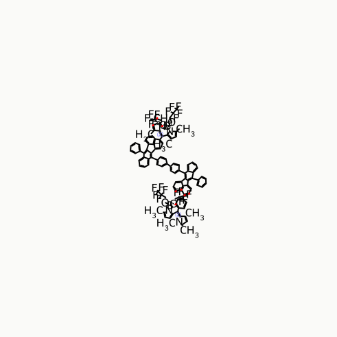 CC1=CC(C)=N/C1=C(/c1ccc(-c2ccc3c4c(cccc24)-c2c-3c(-c3ccccc3)c3ccccc3c2-c2ccc(-c3ccc(-c4c5c(c(-c6ccccc6)c6ccccc46)-c4cccc6c(/C(=C7/N=C(C)C=C7C)c7c(C)cc(C)n7B(OCC(F)(F)C(F)(F)F)OCC(F)(F)C(F)(F)F)ccc-5c46)cc3)cc2)cc1)c1c(C)cc(C)n1B(OCC(F)(F)C(F)(F)F)OCC(F)(F)C(F)(F)F